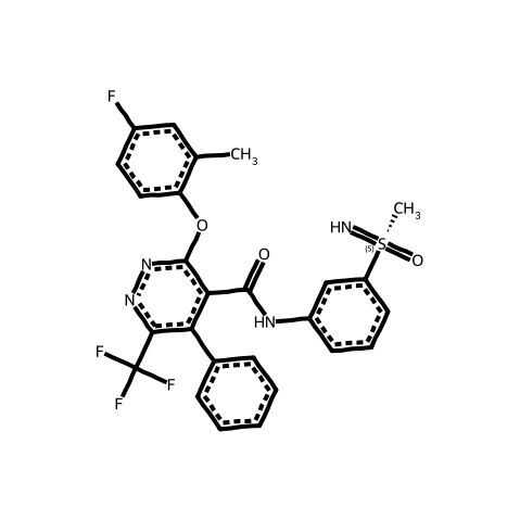 Cc1cc(F)ccc1Oc1nnc(C(F)(F)F)c(-c2ccccc2)c1C(=O)Nc1cccc([S@@](C)(=N)=O)c1